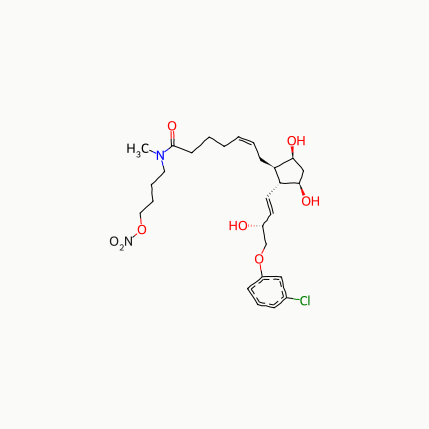 CN(CCCCO[N+](=O)[O-])C(=O)CCC/C=C\C[C@@H]1[C@@H](/C=C/[C@@H](O)COc2cccc(Cl)c2)[C@H](O)C[C@@H]1O